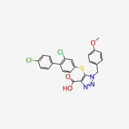 COc1ccc(Cn2nnc(C(=O)O)c2Sc2ccc(-c3ccc(Cl)cc3)c(Cl)c2)cc1